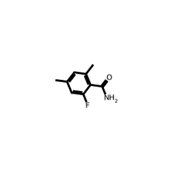 Cc1cc(C)c(C(N)=O)c(F)c1